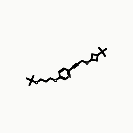 CC(C)(C)OCCCOc1ccc(C#CCOC2CC(C(C)(C)C)C2)nc1